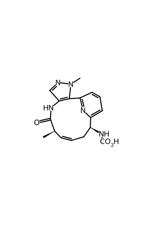 C[C@@H]1C=CC[C@H](NC(=O)O)c2cccc(n2)-c2c(cnn2C)NC1=O